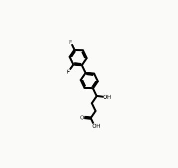 O=C(O)CCC(O)c1ccc(-c2ccc(F)cc2F)cc1